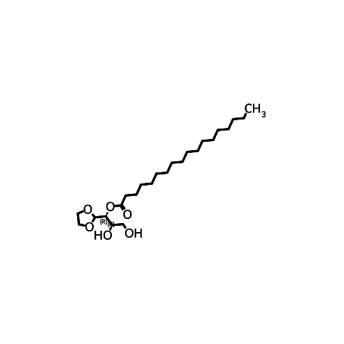 CCCCCCCCCCCCCCCCCC(=O)O[C@@H](C1OCCO1)[C@H](O)CO